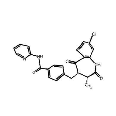 C[C@H]1C(=O)Nc2cc(Cl)ccc2C(=O)N1Cc1ccc(C(=O)Nc2ccccn2)cc1